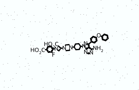 Nc1ncnc2c1c(-c1ccc(Oc3ccccc3)cc1)nn2C1CCC(N2CCN(C3CN(c4cc(C(=O)O)c(C(=O)O)cc4F)C3)CC2)CC1